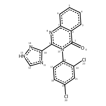 O=c1c2ccccc2nc(-c2nc[nH]n2)n1-c1ccc(Cl)cc1Cl